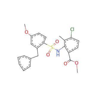 COC(=O)c1ccc(Cl)c(C)c1NS(=O)(=O)c1ccc(OC)cc1Cc1ccccc1